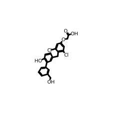 O=C(O)COc1cc(Cl)c(Cc2ccc(O)c(-c3cccc(CO)c3)c2)c(Cl)c1